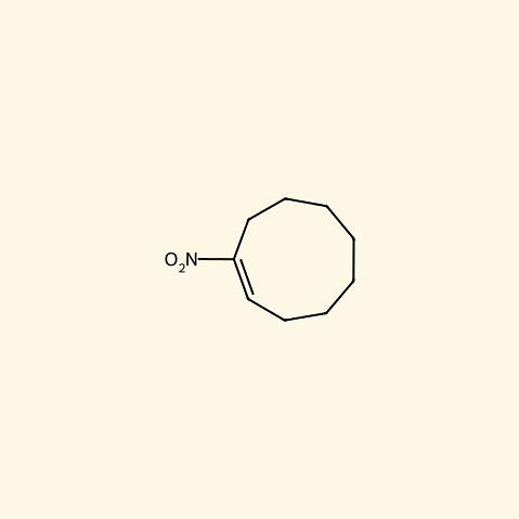 O=[N+]([O-])/C1=C/CCCCCCC1